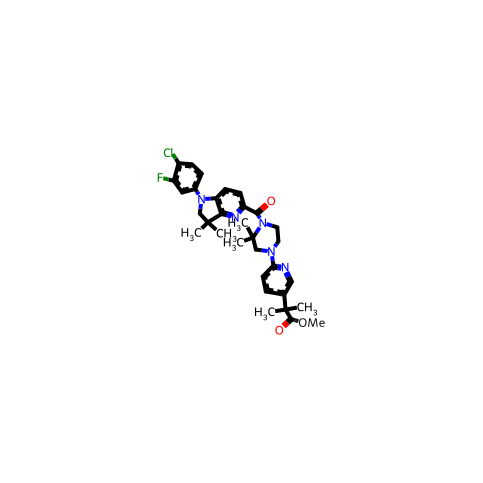 COC(=O)C(C)(C)c1ccc(N2CCN(C(=O)c3ccc4c(n3)C(C)(C)CN4c3ccc(Cl)c(F)c3)C(C)(C)C2)nc1